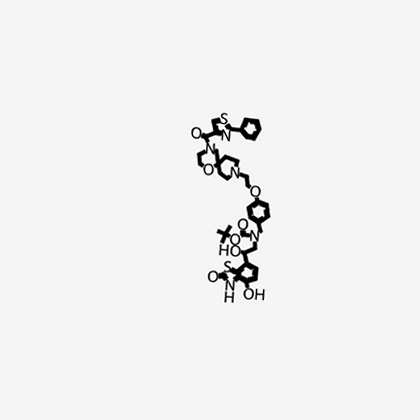 CC(C)(C)OC(=O)N(Cc1ccc(OCCN2CCC3(CC2)CN(C(=O)c2csc(-c4ccccc4)n2)CCO3)cc1)CC(O)c1ccc(O)c2[nH]c(=O)sc12